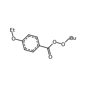 CCOc1ccc(C(=O)OO[C](C)CC)cc1